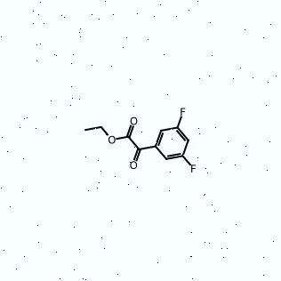 CCOC(=O)C(=O)c1cc(F)cc(F)c1